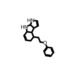 C1=CC2NC3NC=CC3C2C(CCOc2ccccc2)C1